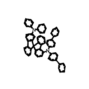 c1ccc(-c2ccc(N(c3ccc(-c4ccccc4)cc3)c3cccc4c3-c3ccccc3C43c4ccccc4-c4ccc(N(c5ccccc5)c5ccccc5)cc43)cc2)cc1